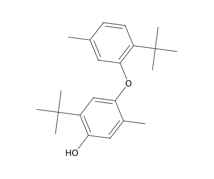 Cc1ccc(C(C)(C)C)c(Oc2cc(C(C)(C)C)c(O)cc2C)c1